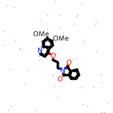 COc1cc2nccc(OCCCN3C(=O)c4ccccc4C3=O)c2cc1OC